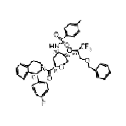 Cc1ccc(S(=O)(=O)N[C@H]2C[C@H](C(=O)N3CCc4ccccc4[C@@H]3c3ccc(F)cc3)OC[C@@H]2O[C@H](COCc2ccccc2)C(F)(F)F)cc1